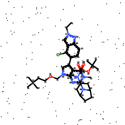 CCn1cc2c(Cl)c(-c3cn(COCC[Si](C)(C)C)c4nc(N5C6CCC5CC(N(C)C(=O)OC(C)(C)C)C6)n(C)c(=O)c34)ccc2n1